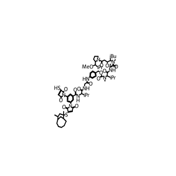 CCC(C)C(C(CC(=O)N1CCCC1C(OC)C(C)C)OC)N(C)C(=O)CNC(=O)C(C(C)C)N(C)C(=O)OCc1ccc(NC(=O)CNC(=O)C(NC(=O)c2cc(N3C(=O)C=C(S)C3=O)cc(N3C(=O)C=C(SC4(C)CC(C)C5CCCCCC4C5)C3=O)c2)C(C)C)cc1